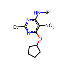 CCc1nc(NC(C)C)c([N+](=O)[O-])c(OC2CCCC2)n1